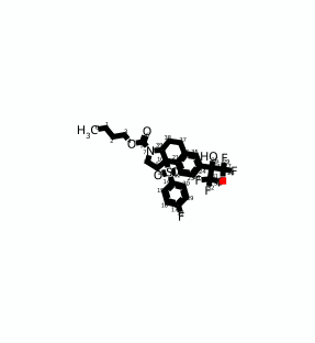 CCCCOC(=O)N1CCC2(S(=O)(=O)c3ccc(F)cc3)c3ccc(C(O)(C(F)(F)F)C(F)(F)F)cc3CCC12